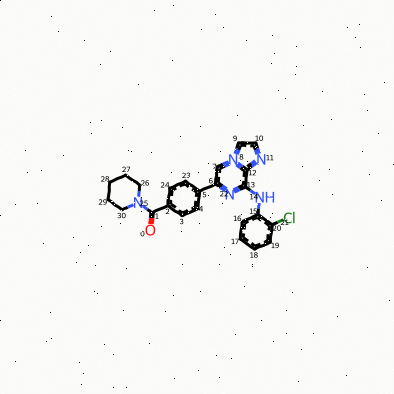 O=C(c1ccc(-c2cn3ccnc3c(Nc3ccccc3Cl)n2)cc1)N1CCCCC1